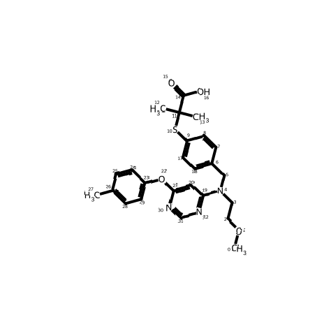 COCCN(Cc1ccc(SC(C)(C)C(=O)O)cc1)c1cc(Oc2ccc(C)cc2)ncn1